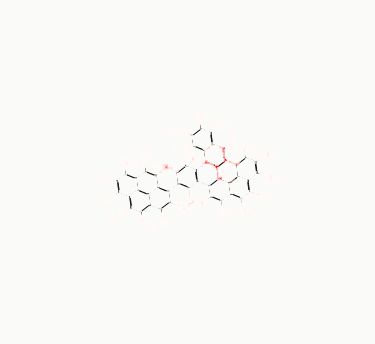 Bc1c(B)c(-c2c(B)c(B)c(B)c3c(B)c(B)c(B)c(B)c23)c(-c2c(B)c(B)c3c(B)c(B)c4c(B)c(B)c(B)c5c(B)c(B)c2c3c45)c(B)c1-c1c(B)c(B)c2c(B)c(B)c3c(B)c(B)c(B)c4c(B)c(B)c1c2c34